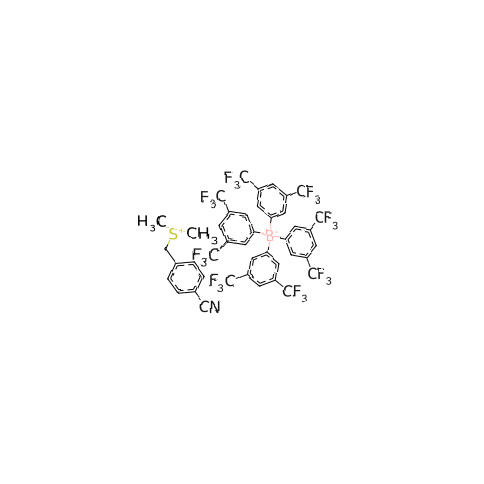 C[S+](C)Cc1ccc(C#N)cc1.FC(F)(F)c1cc([B-](c2cc(C(F)(F)F)cc(C(F)(F)F)c2)(c2cc(C(F)(F)F)cc(C(F)(F)F)c2)c2cc(C(F)(F)F)cc(C(F)(F)F)c2)cc(C(F)(F)F)c1